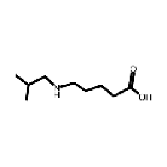 CC(C)CNCCCCC(=O)O